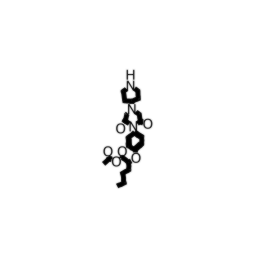 CCCCC(Oc1ccc(N2C(=O)CN(C3CCNCC3)CC2=O)cc1)C(=O)OC(C)=O